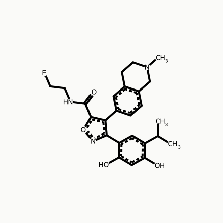 CC(C)c1cc(-c2noc(C(=O)NCCF)c2-c2ccc3c(c2)CCN(C)C3)c(O)cc1O